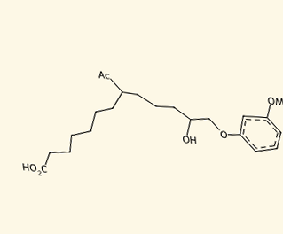 COc1cccc(OCC(O)CCCC(CCCCCCC(=O)O)C(C)=O)c1